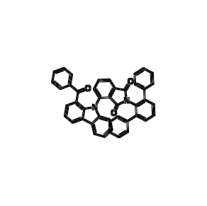 O=C(c1ccccc1)c1cccc2c3ccccc3n(-c3cccc4c3C(=O)N(c3c(-c5ccccc5)cccc3-c3ccccc3)C4=O)c12